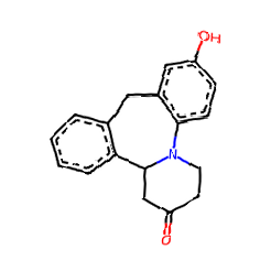 O=C1CCN2c3ccc(O)cc3Cc3ccccc3C2C1